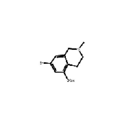 COc1cc(Br)cc2c1CCN(C)C2